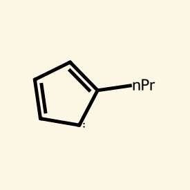 CCCC1=CC=C[C]1